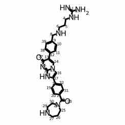 N=C(N)NCCCNCc1ccc(-c2cn3cc(-c4ccc(C(=O)N5CCCNCC5)cc4)[nH]c3nc2=O)cc1